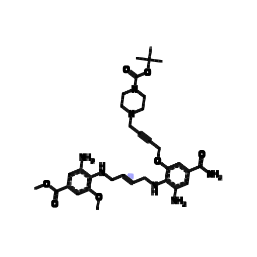 COC(=O)c1cc(N)c(NC/C=C/CNc2c(N)cc(C(N)=O)cc2OCC#CCN2CCN(C(=O)OC(C)(C)C)CC2)c(OC)c1